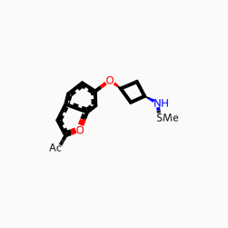 CSN[C@H]1C[C@@H](Oc2ccc3cc(C(C)=O)oc3c2)C1